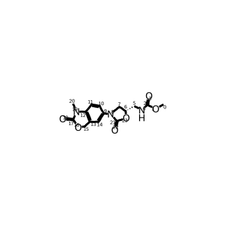 COC(=O)NC[C@H]1CN(c2ccc3c(c2)COC(=O)N3C)C(=O)O1